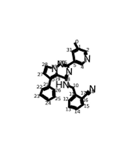 Cc1cncc(-c2nc(NCc3ccccc3C#N)c3c(-c4ccccc4)ccn3n2)c1